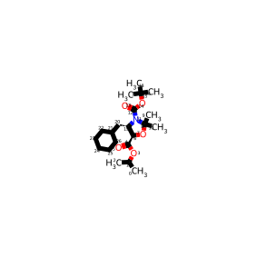 CC(C)OC(=O)[C@@H]1OC(C)(C)N(C(=O)OC(C)(C)C)[C@H]1CC1CCCCC1